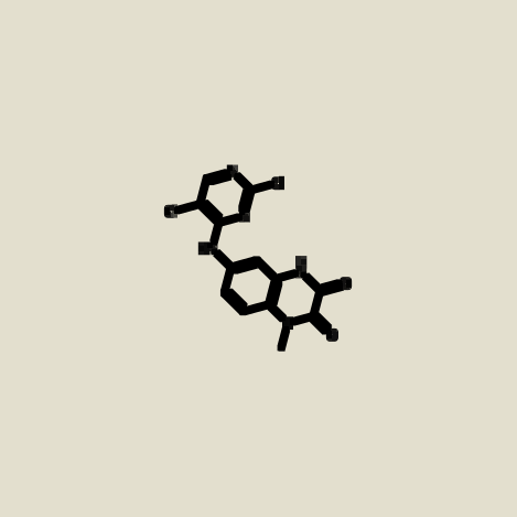 Cn1c(=O)c(=O)[nH]c2cc(Nc3nc(Cl)ncc3Cl)ccc21